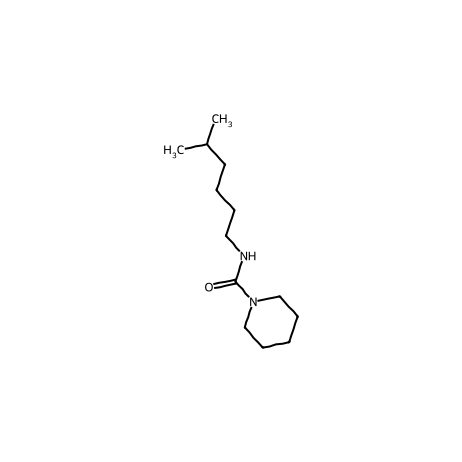 CC(C)CCCCNC(=O)N1CCCCC1